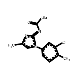 Cc1cn(-c2ccc(C)c(Cl)c2)/c(=N/C(=O)C(C)(C)C)s1